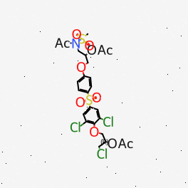 CC(=O)OC(COc1ccc(S(=O)(=O)c2cc(Cl)c(OC[C@H](CCl)OC(C)=O)c(Cl)c2)cc1)CN(C(C)=O)S(C)(=O)=O